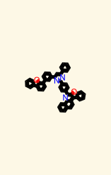 c1ccc(-c2cc(-c3cccc(-c4cccc5c4oc4ccccc45)c3)nc(-c3ccc(-c4nc5c6ccccc6ccc5c5c4oc4ccccc45)cc3)n2)cc1